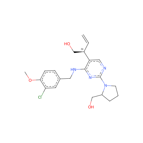 C=C[C@H](CO)c1cnc(N2CCCC2CO)nc1NCc1ccc(OC)c(Cl)c1